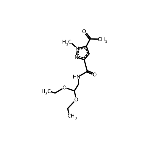 CCOC(CNC(=O)c1cc(C(C)=O)n(C)n1)OCC